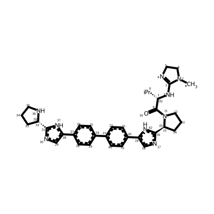 CC(C)[C@H](NC1=NCCN1C)C(=O)N1CCC[C@H]1c1ncc(-c2ccc(-c3ccc(-c4cnc([C@@H]5CCCN5)[nH]4)cc3)cc2)[nH]1